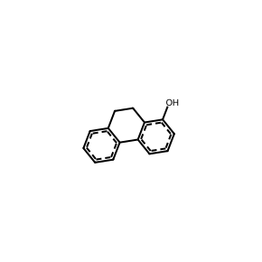 Oc1cccc2c1CCc1ccccc1-2